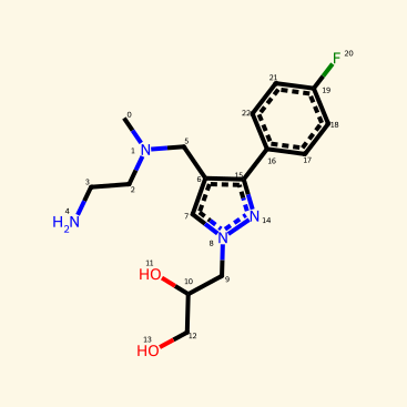 CN(CCN)Cc1cn(CC(O)CO)nc1-c1ccc(F)cc1